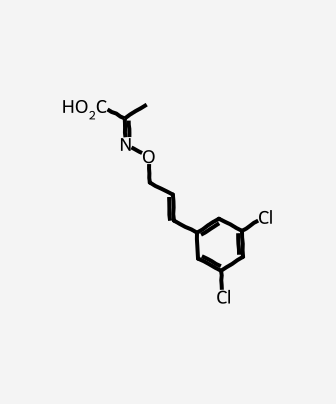 CC(=NOCC=Cc1cc(Cl)cc(Cl)c1)C(=O)O